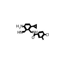 Cc1cc(C(=O)NCc2c(C3CC3)ccc(N)c2C=N)ccc1Cl